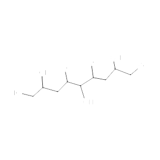 OCC(O)CC(O)C(O)C(O)CC(O)CO